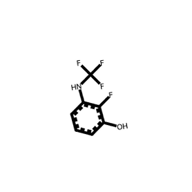 Oc1cccc(NC(F)(F)F)c1F